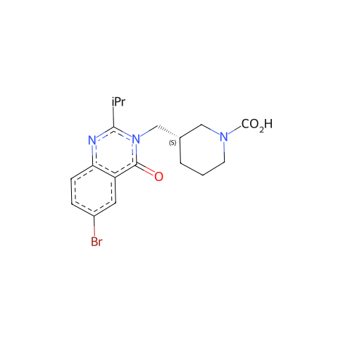 CC(C)c1nc2ccc(Br)cc2c(=O)n1C[C@H]1CCCN(C(=O)O)C1